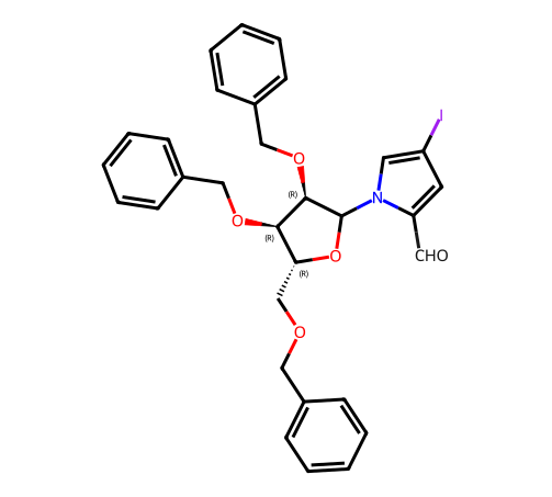 O=Cc1cc(I)cn1C1O[C@H](COCc2ccccc2)[C@@H](OCc2ccccc2)[C@H]1OCc1ccccc1